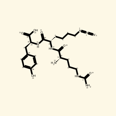 [N-]=[N+]=NCCCC[C@H](NC(=O)[C@@H](N)CCCNC(N)=O)C(=O)N[C@@H](Cc1ccc(O)cc1)C(=O)O